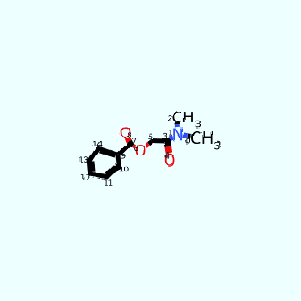 CN(C)C(=O)COC(=O)c1[c]cccc1